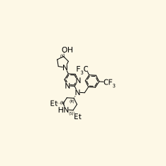 CC[C@@H]1C[C@H](N(Cc2cc(C(F)(F)F)cc(C(F)(F)F)c2)c2ncc(N3CC[C@H](O)C3)cn2)C[C@H](CC)N1